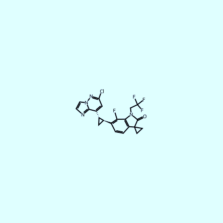 O=C1N(CC(F)(F)F)c2c(ccc([C@H]3C[C@@H]3c3cc(Cl)nn4ccnc34)c2F)C12CC2